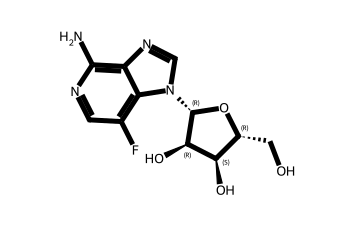 Nc1ncc(F)c2c1ncn2[C@@H]1O[C@H](CO)[C@@H](O)[C@H]1O